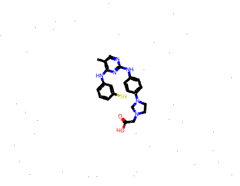 Cc1cnc(Nc2ccc(N3CCN(CC(=O)O)C3)cc2)nc1Nc1cccc(S)c1